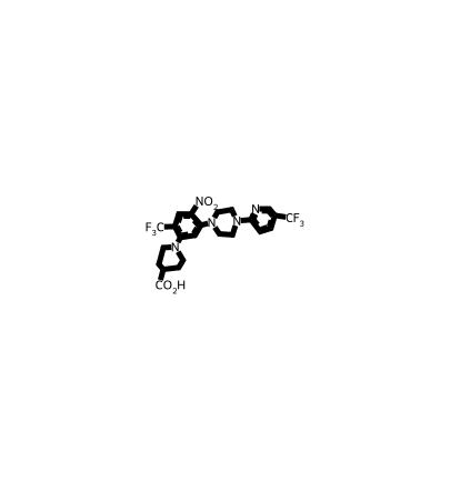 O=C(O)C1CCN(c2cc(N3CCN(c4ccc(C(F)(F)F)cn4)CC3)c([N+](=O)[O-])cc2C(F)(F)F)CC1